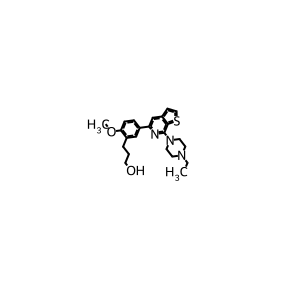 CCN1CCN(c2nc(-c3ccc(OC)c(CCCO)c3)cc3ccsc23)CC1